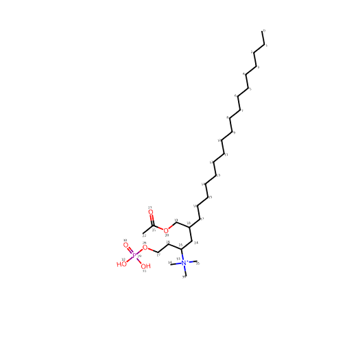 CCCCCCCCCCCCCCCCCCC(COC(C)=O)CC(CCOP(=O)(O)O)[N+](C)(C)C